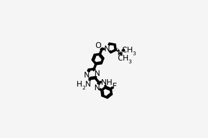 CN(C)[C@@H]1CCN(C(=O)c2ccc(-c3cnc(N)c(-c4nc5cccc(F)c5[nH]4)n3)cc2)C1